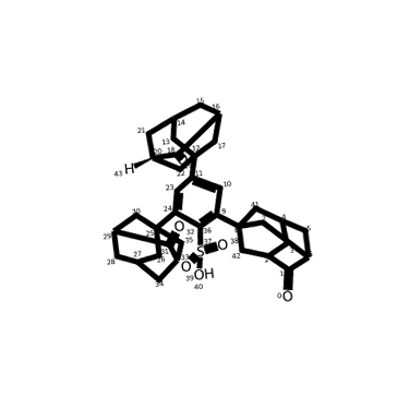 O=C1C2CC3CC1CC(c1cc(C45CC6CC(C4)C(=O)[C@@H](C6)C5)cc(C45CC6CC(C4)C(=O)C(C6)C5)c1S(=O)(=O)O)(C3)C2